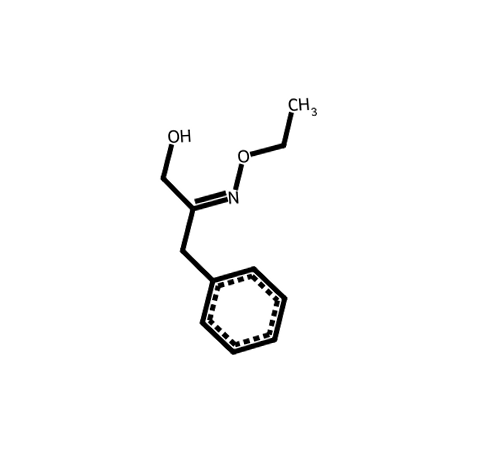 CCON=C(CO)Cc1ccccc1